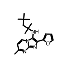 Cc1ccn2c(NC(C)(C)CC(C)(C)C)c(-c3ccco3)nc2n1